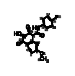 COc1ccc2c(n1)C(C(=O)Nc1ccc(F)cc1)C(=O)N(O)C2=O